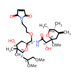 C=C1C[C@](OC)([C@H](O)C(=O)N[C@@H](OCCCN2C(=O)C=CC2=O)[C@@H]2C[C@@H](O)C(C)(C)[C@@H](C[C@@H](COC)OC)O2)O[C@H](C)[C@@H]1C